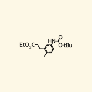 CCOC(=O)CCc1cc(NC(=O)OC(C)(C)C)ccc1C